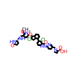 COc1nc(O[C@H]2CCc3c(-c4cccc(C(=O)Nc5ccc(CN6CC[C@@H]6C(=O)O)cn5)c4Cl)cccc32)c(Cl)cc1CNC[C@@H]1CCC(=O)N1